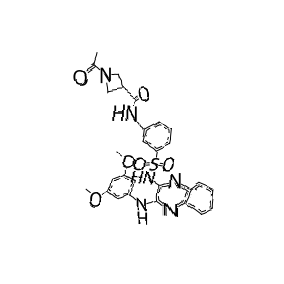 COc1cc(Nc2nc3ccccc3nc2NS(=O)(=O)c2cccc(NC(=O)C3CN(C(C)=O)C3)c2)cc(OC)c1